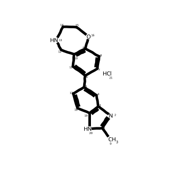 Cc1nc2cc(-c3ccc4c(c3)CNCCO4)ccc2[nH]1.Cl